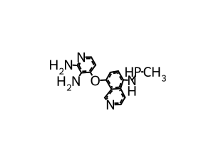 CPNc1ccc(Oc2ccnc(N)c2N)c2cnccc12